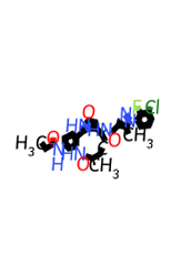 CCC(=O)Nc1ccc2c(c1)NC(=O)[C@H](C)CCC[C@H](NC(=O)c1cnn(-c3cccc(Cl)c3F)c1C)c1cc-2[nH]c(=O)c1